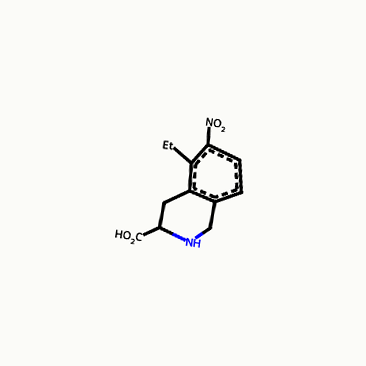 CCc1c([N+](=O)[O-])ccc2c1CC(C(=O)O)NC2